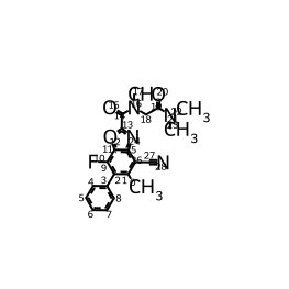 Cc1c(-c2ccccc2)c(F)c2oc(C(=O)N(C)CC(=O)N(C)C)nc2c1C#N